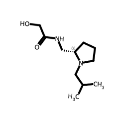 CC(C)CN1CCC[C@H]1CNC(=O)CO